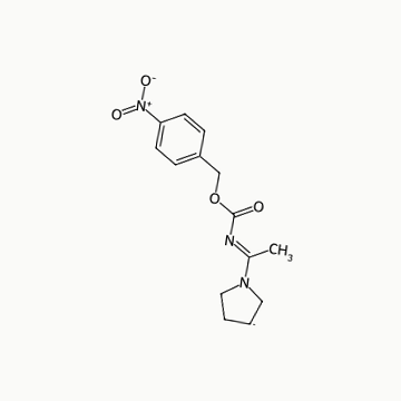 C/C(=N\C(=O)OCc1ccc([N+](=O)[O-])cc1)N1C[CH]CC1